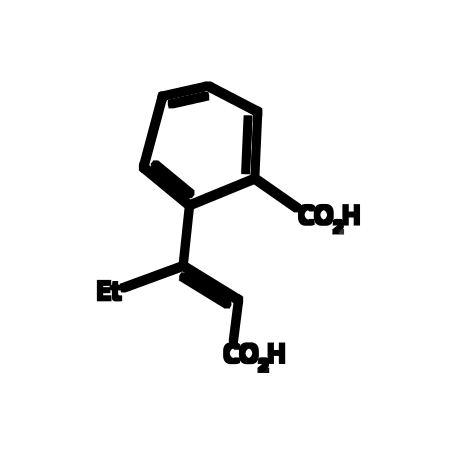 CCC(=CC(=O)O)c1ccccc1C(=O)O